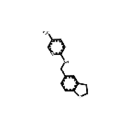 Cc1ccc(NCc2ccc3c(c2)CCO3)nc1